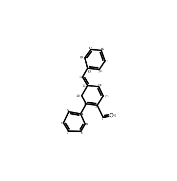 O=CC1=C(c2ccccc2)CC(=Cc2ccccc2)C=C1